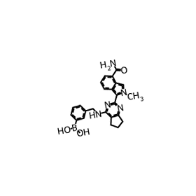 Cn1cc2c(C(N)=O)cccc2c1-c1nc2c(c(NCc3cccc(B(O)O)c3)n1)CCC2